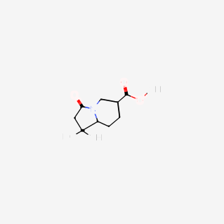 COC(=O)C1CCC2N(C1)C(=O)CC2(C)C